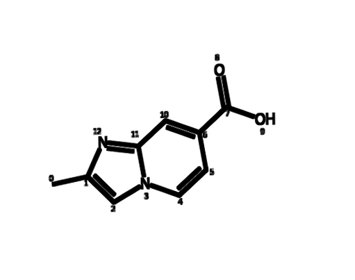 Cc1cn2ccc(C(=O)O)cc2n1